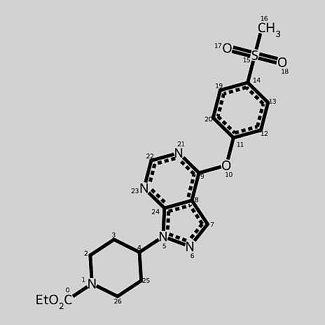 CCOC(=O)N1CCC(n2ncc3c(Oc4ccc(S(C)(=O)=O)cc4)ncnc32)CC1